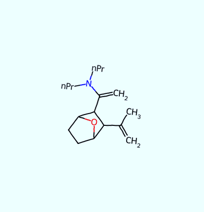 C=C(C)C1C2CCC(O2)C1C(=C)N(CCC)CCC